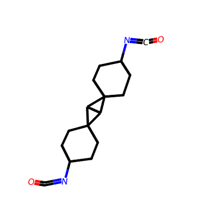 O=C=NC1CCC2(CC1)C1C2C12CCC(N=C=O)CC2